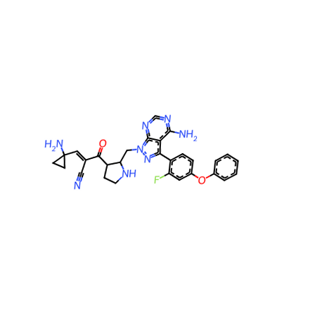 N#CC(=CC1(N)CC1)C(=O)C1CCNC1Cn1nc(-c2ccc(Oc3ccccc3)cc2F)c2c(N)ncnc21